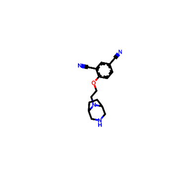 N#Cc1ccc(OCCN2C3CCC2CNC3)c(C#N)c1